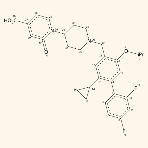 CC(C)Oc1cc(-c2ccc(F)cc2F)c(C2CC2)cc1CN1CCC(n2ccc(C(=O)O)cc2=O)CC1